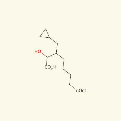 CCCCCCCCCCCCC(C[C]1CC1)C(O)C(=O)O